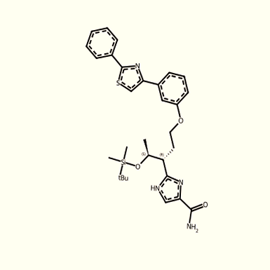 C[C@H](O[Si](C)(C)C(C)(C)C)[C@H](CCOc1cccc(-c2csc(-c3ccccc3)n2)c1)c1nc(C(N)=O)c[nH]1